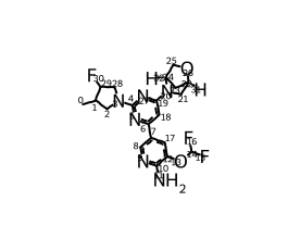 CC1CN(c2nc(-c3cnc(N)c(OC(F)F)c3)cc(N3C[C@@H]4C[C@H]3CO4)n2)CC1F